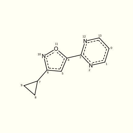 c1cnc(-c2cc(C3CC3)no2)nc1